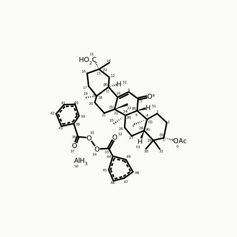 CC(=O)O[C@H]1CC[C@]2(C)[C@H]3C(=O)C=C4[C@@H]5C[C@@](C)(C(=O)O)CC[C@]5(C)CC[C@@]4(C)[C@]3(C)CC[C@H]2C1(C)C.O=C(OOC(=O)c1ccccc1)c1ccccc1.[AlH3]